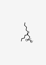 CCCC/N=C(\CCCC)C[N+](=O)[O-]